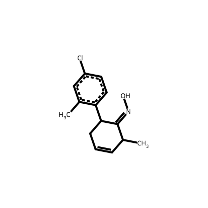 Cc1cc(Cl)ccc1C1CC=CC(C)/C1=N/O